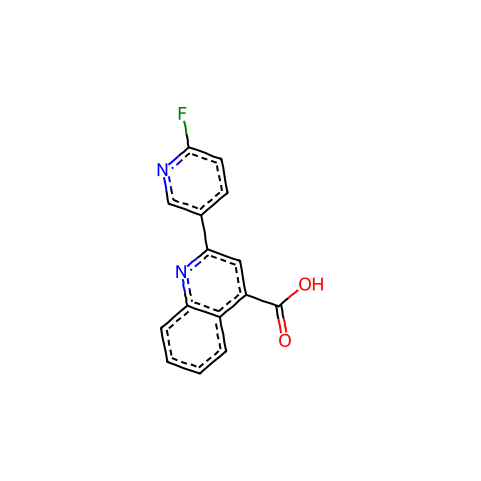 O=C(O)c1cc(-c2ccc(F)nc2)nc2ccccc12